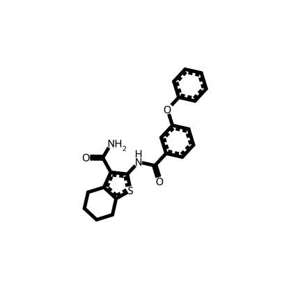 NC(=O)c1c(NC(=O)c2cccc(Oc3ccccc3)c2)sc2c1CCCC2